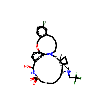 O=S1(=O)CCCCC[C@@H](NCC(F)(F)F)[C@@H]2CC[C@H]2CN2CCCCc3cc(Cl)ccc3COc3ccc(cc32)C(O)N1